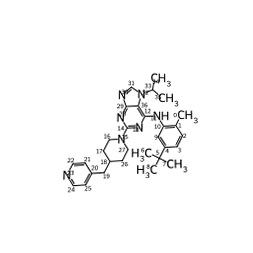 Cc1ccc(C(C)(C)C)cc1Nc1nc(N2CCC(Cc3ccncc3)CC2)nc2ncn(C(C)C)c12